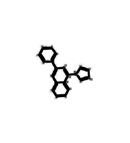 c1ccc(-c2cc3ccccc3c(-n3ccnc3)n2)cc1